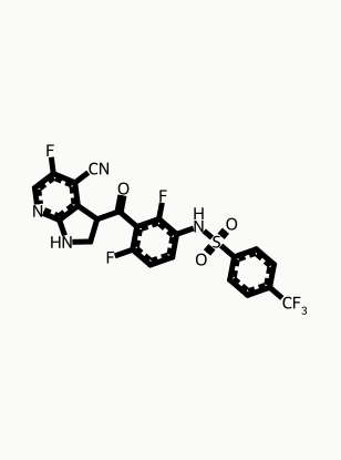 N#Cc1c(F)cnc2c1C(C(=O)c1c(F)ccc(NS(=O)(=O)c3ccc(C(F)(F)F)cc3)c1F)CN2